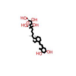 C=C1/C(=C\C=C2CCC[C@@]3(C)C2CC[C@@H]3[C@H](C)CCCC(C)(C)[C@@]2(CO)O[C@H](CO)[C@@H](O)[C@@H]2O)C[C@@H](O)C[C@H]1O